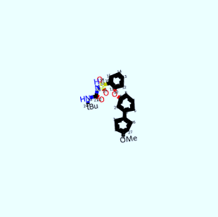 COc1ccc(-c2cccc(Oc3ccccc3S(=O)(=O)NC(=O)NC(C)(C)C)c2)cc1